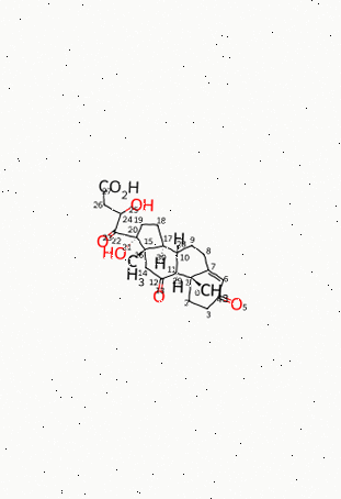 C[C@]12CCC(=O)C=C1CC[C@@H]1[C@@H]2C(=O)C[C@@]2(C)[C@H]1CC[C@]2(O)C(=O)C(O)CC(=O)O